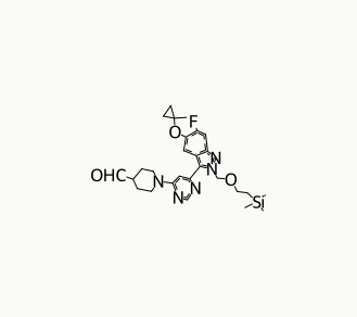 CC1(Oc2cc3c(-c4cc(N5CCC(C=O)CC5)ncn4)n(COCC[Si](C)(C)C)nc3cc2F)CC1